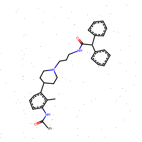 Cc1c(NC(=O)C(C)C)cccc1C1CCN(CCCNC(=O)C(c2ccccc2)c2ccccc2)CC1